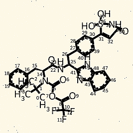 CC(C)(C)N(C(=O)OC(=O)C(F)(F)F)[C@@H](Cc1ccccc1)C(=O)NC(Cc1ccc(C2=CC(=O)NS2(O)O)cc1)c1nc2ccccc2[nH]1